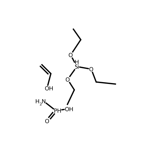 C=CO.CCO[SiH](OCC)OCC.N[PH](=O)O